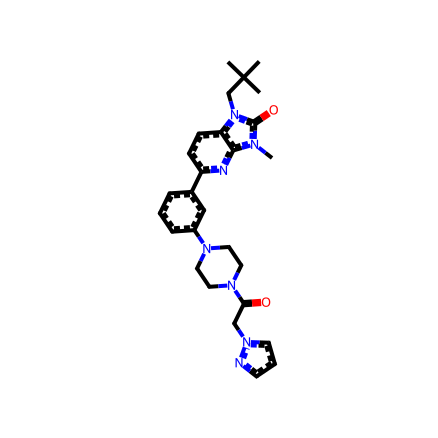 Cn1c(=O)n(CC(C)(C)C)c2ccc(-c3cccc(N4CCN(C(=O)Cn5cccn5)CC4)c3)nc21